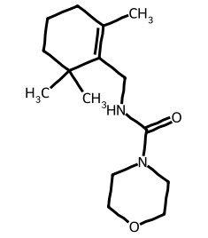 CC1=C(CNC(=O)N2CCOCC2)C(C)(C)CCC1